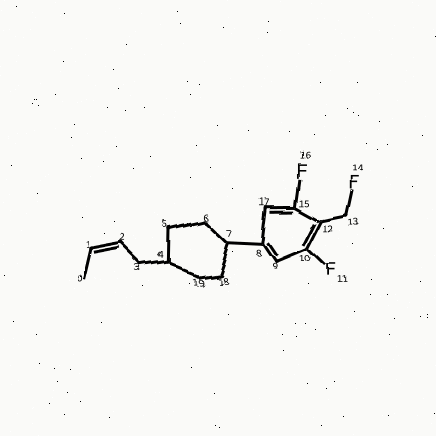 C/C=C\CC1CCC(c2cc(F)c(CF)c(F)c2)CC1